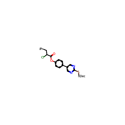 CCCCCCCCCCSc1ncc(-c2ccc(OC(=O)C(Cl)CC(C)C)cc2)cn1